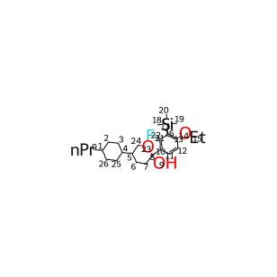 CCCC1CCC(C2CCC(O)(c3ccc(OCC)c([Si](C)(C)C)c3F)OC2)CC1